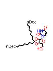 CCCCCCCCCCCCCCCCCC1(CCCCCCCCCCCCCCCCC)OC2C(CO)OC(n3ccc(=O)[nH]c3=O)C2O1